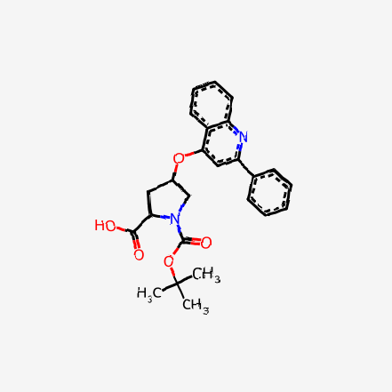 CC(C)(C)OC(=O)N1CC(Oc2cc(-c3ccccc3)nc3ccccc23)CC1C(=O)O